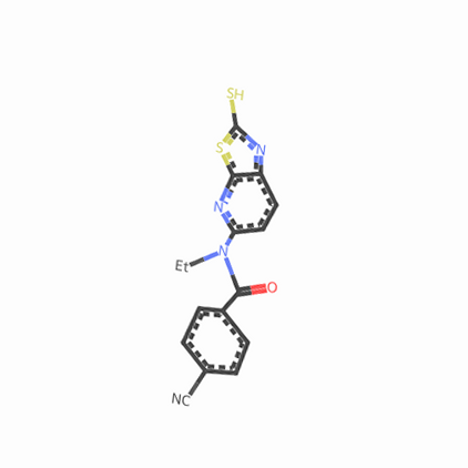 CCN(C(=O)c1ccc(C#N)cc1)c1ccc2nc(S)sc2n1